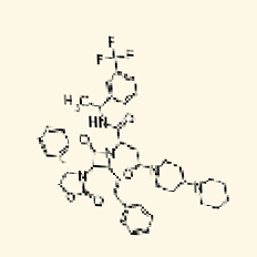 C[C@H](NC(=O)C(CC(=O)N1CCC(N2CCCCC2)CC1)N1C(=O)C(N2C(=O)OC[C@@H]2c2ccccc2)C1C=Cc1ccccc1)c1cccc(C(F)(F)F)c1